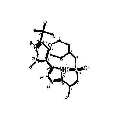 CC(CS(=O)(=O)CC1CCOCC1)c1nnc(-c2cc(C(C)(C)C)nn2C)[nH]1